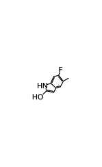 Cc1cc2cc(O)[nH]c2cc1F